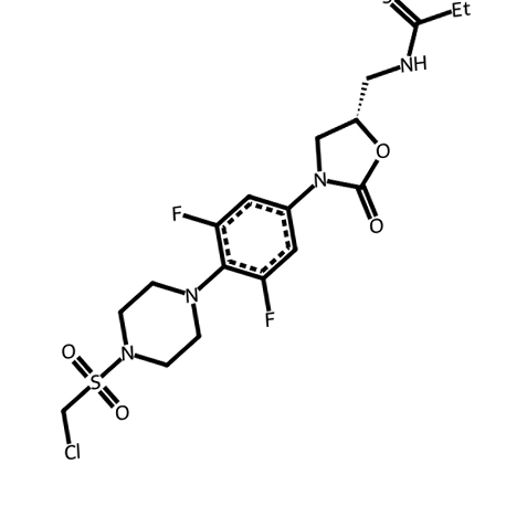 CCC(=S)NC[C@H]1CN(c2cc(F)c(N3CCN(S(=O)(=O)CCl)CC3)c(F)c2)C(=O)O1